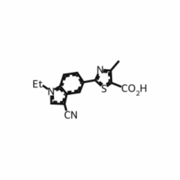 CCn1cc(C#N)c2cc(-c3nc(C)c(C(=O)O)s3)ccc21